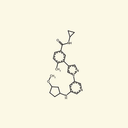 COC1CCC(Nc2cncc(-n3cc(-c4cc(C(=O)NC5CC5)ccc4C)cn3)c2)C1